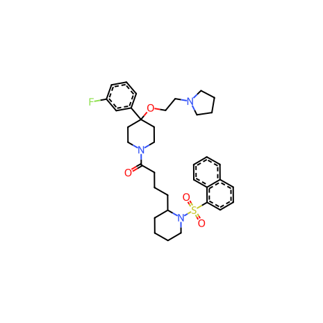 O=C(CCCC1CCCCN1S(=O)(=O)c1cccc2ccccc12)N1CCC(OCCN2CCCC2)(c2cccc(F)c2)CC1